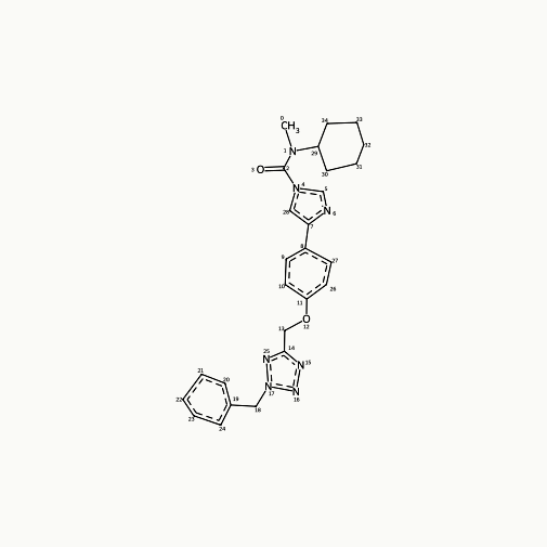 CN(C(=O)n1cnc(-c2ccc(OCc3nnn(Cc4ccccc4)n3)cc2)c1)C1CCCCC1